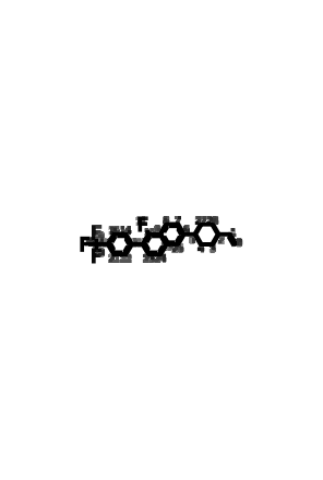 C=CC1CCC(c2ccc3c(F)c(-c4ccc(C(F)(F)F)cc4)ccc3c2)CC1